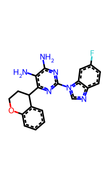 Nc1nc(-n2cnc3ccc(F)cc32)nc(C2CCOc3ccccc32)c1N